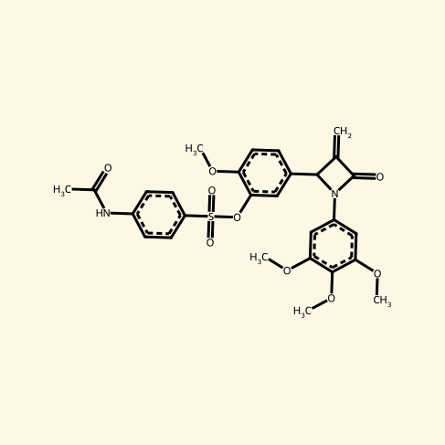 C=C1C(=O)N(c2cc(OC)c(OC)c(OC)c2)C1c1ccc(OC)c(OS(=O)(=O)c2ccc(NC(C)=O)cc2)c1